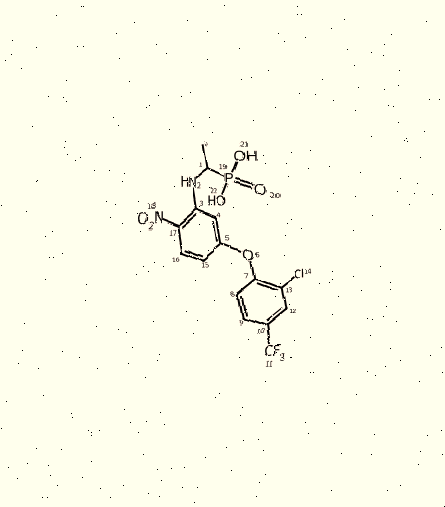 CC(Nc1cc(Oc2ccc(C(F)(F)F)cc2Cl)ccc1[N+](=O)[O-])P(=O)(O)O